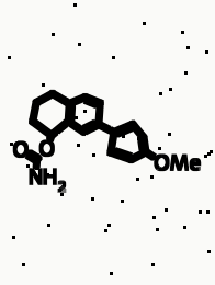 COc1ccc(-c2ccc3c(c2)C(OC(N)=O)CCC3)cc1